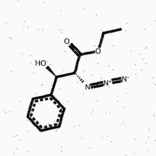 CCOC(=O)[C@H](N=[N+]=[N-])[C@H](O)c1ccccc1